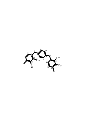 Cc1ccc(Cc2ccc(Cc3ccc(C)c(F)c3F)cc2)c(F)c1F